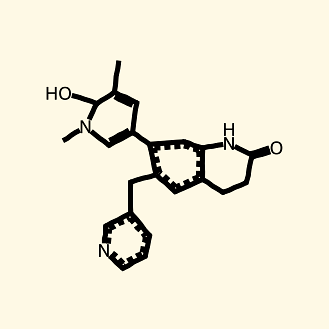 CC1=CC(c2cc3c(cc2Cc2cccnc2)CCC(=O)N3)=CN(C)C1O